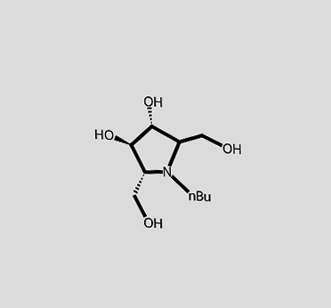 CCCCN1C(CO)[C@@H](O)[C@H](O)[C@H]1CO